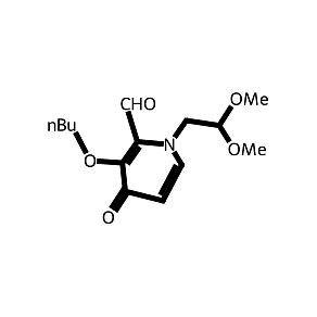 CCCCOc1c(C=O)n(CC(OC)OC)ccc1=O